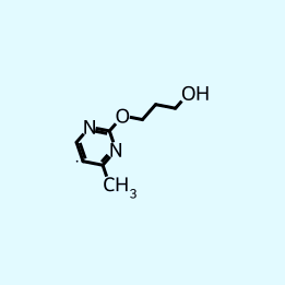 Cc1[c]cnc(OCCCO)n1